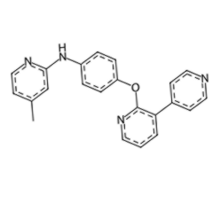 Cc1ccnc(Nc2ccc(Oc3ncccc3-c3ccncc3)cc2)c1